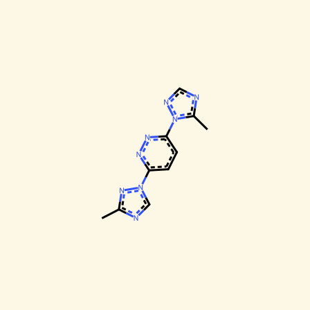 Cc1ncn(-c2ccc(-n3ncnc3C)nn2)n1